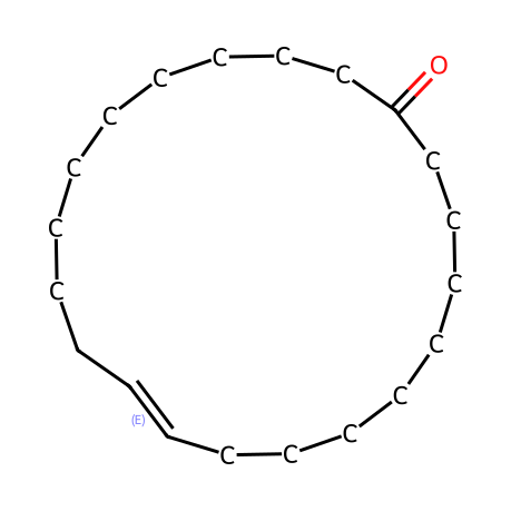 O=C1CCCCCCCC/C=C/CCCCCCCCC1